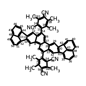 Cc1c(C)c(-c2cc3c4cc5c(cc4c(-c4c(C)c(C)c(C#N)c(C)c4C#N)cc3c3cc4c(cc23)-c2cccc3cccc-4c23)-c2cccc3cccc-5c23)c(C#N)c(C)c1C#N